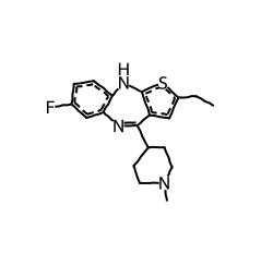 CCc1cc2c(s1)Nc1ccc(F)cc1N=C2C1CCN(C)CC1